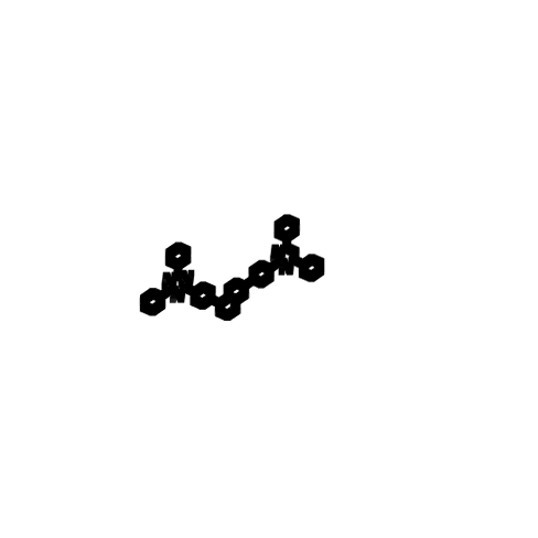 c1ccc(-c2cc(-c3ccccc3)nc(-c3ccc(-c4ccc5c(-c6ccc(-c7nc(-c8ccccc8)nc(-c8ccccc8)n7)cc6)cccc5c4)cc3)n2)cc1